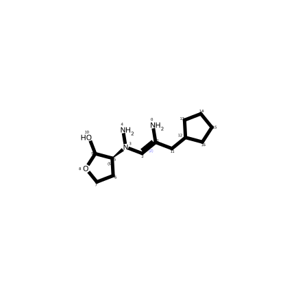 N/C(=C\N(N)[C@H]1CCOC1O)CC1CCCC1